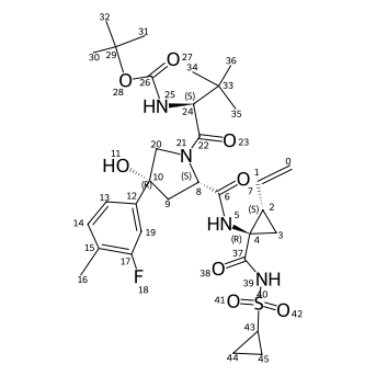 C=C[C@@H]1C[C@]1(NC(=O)[C@@H]1C[C@@](O)(c2ccc(C)c(F)c2)CN1C(=O)[C@@H](NC(=O)OC(C)(C)C)C(C)(C)C)C(=O)NS(=O)(=O)C1CC1